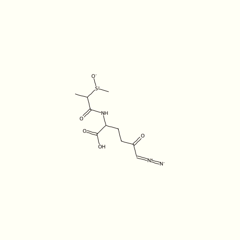 CC(C(=O)NC(CCC(=O)C=[N+]=[N-])C(=O)O)[S+](C)[O-]